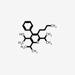 CCCCc1c(C(C)C)nc(C(C)C)c(C(C)O)c1-c1ccccc1